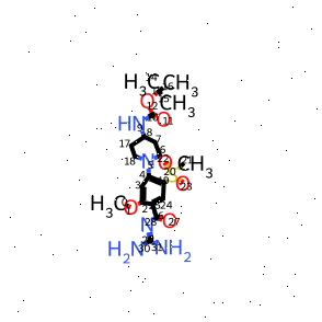 COc1cc(N2CCC(NC(=O)OC(C)(C)C)CC2)c(S(C)(=O)=O)cc1C(=O)N=C(N)N